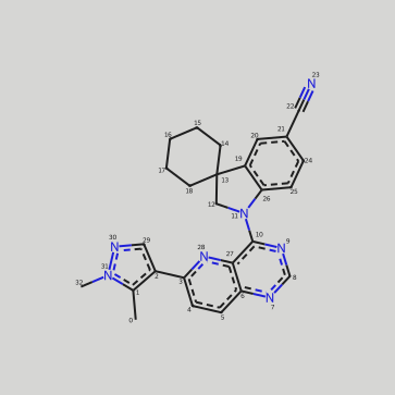 Cc1c(-c2ccc3ncnc(N4CC5(CCCCC5)c5cc(C#N)ccc54)c3n2)cnn1C